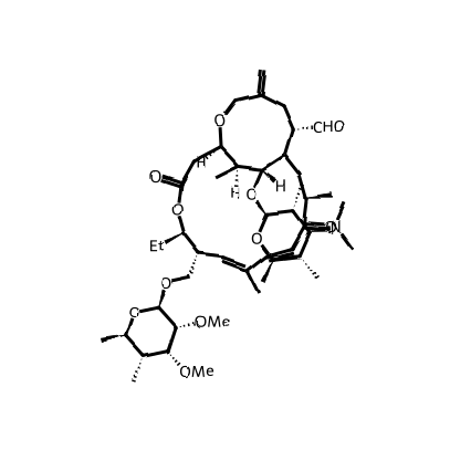 C=C1CO[C@@H]2CC(=O)O[C@H](CC)[C@@H](CO[C@@H]3O[C@H](C)[C@@H](C)[C@@H](OC)[C@H]3OC)/C=C(C)/C=C/C(=O)[C@H](C)CC([C@@H](C=O)C1)[C@H](O[C@@H]1O[C@H](C)[C@@H](C)[C@H](N(C)C)[C@H]1C)[C@H]2C